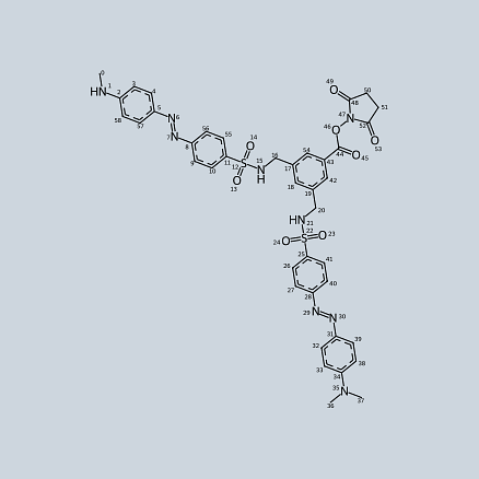 CNc1ccc(/N=N/c2ccc(S(=O)(=O)NCc3cc(CNS(=O)(=O)c4ccc(/N=N/c5ccc(N(C)C)cc5)cc4)cc(C(=O)ON4C(=O)CCC4=O)c3)cc2)cc1